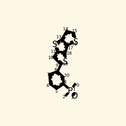 CP(C)(=O)c1cccc(-c2cc3sc4ccsc4c3s2)c1